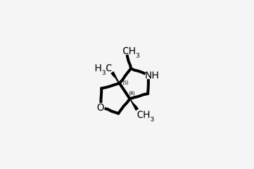 CC1NC[C@]2(C)COC[C@]12C